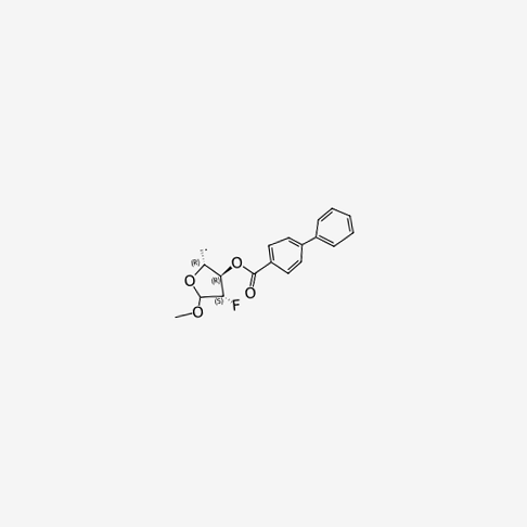 [CH2][C@H]1OC(OC)[C@@H](F)[C@@H]1OC(=O)c1ccc(-c2ccccc2)cc1